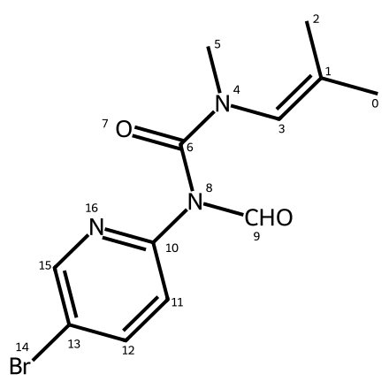 CC(C)=CN(C)C(=O)N(C=O)c1ccc(Br)cn1